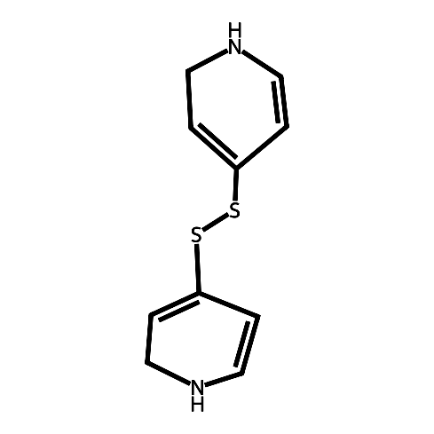 C1=CC(SSC2=CCNC=C2)=CCN1